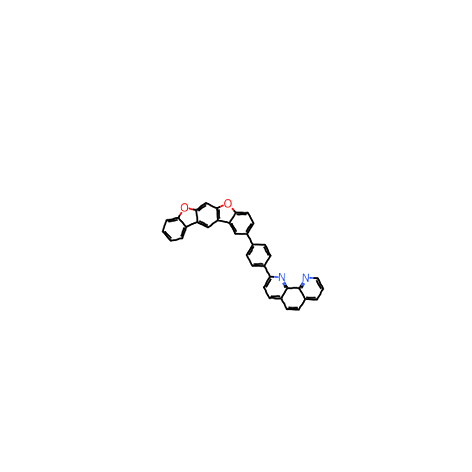 c1cnc2c(c1)ccc1ccc(-c3ccc(-c4ccc5oc6cc7oc8ccccc8c7cc6c5c4)cc3)nc12